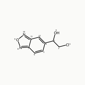 OC(CCl)c1ccc2nonc2c1